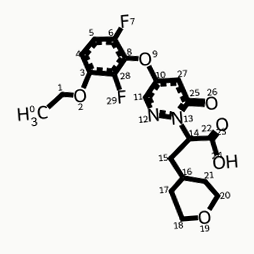 CCOc1ccc(F)c(Oc2cnn(C(CC3CCOCC3)C(=O)O)c(=O)c2)c1F